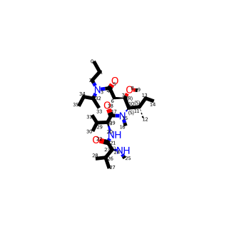 CCCN(C(=O)C[C@@H](OC)[C@H]([C@@H](C)CC)N(C)C(=O)[C@@H](NC(=O)[C@@H](NC)C(C)C)C(C)C)C(C)CC